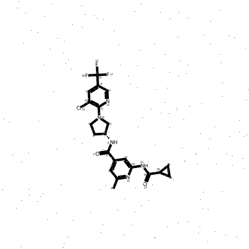 Cc1cc(C(=O)N[C@@H]2CCN(c3ncc(C(F)(F)F)cc3Cl)C2)cc(NC(=O)C2CC2)n1